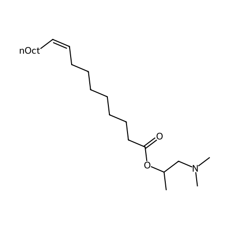 CCCCCCCC/C=C\CCCCCCCC(=O)OC(C)CN(C)C